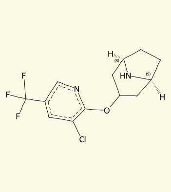 FC(F)(F)c1cnc(OC2C[C@H]3CC[C@@H](C2)N3)c(Cl)c1